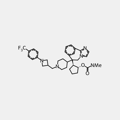 CNC(=O)O[C@@H]1CCC[C@H]1C1(C2CCN(CC3CN(c4ccc(C(F)(F)F)cc4)C3)CC2)Cn2ccnc2-c2cccc1c2